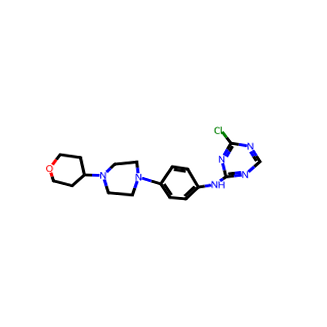 Clc1ncnc(Nc2ccc(N3CCN(C4CCOCC4)CC3)cc2)n1